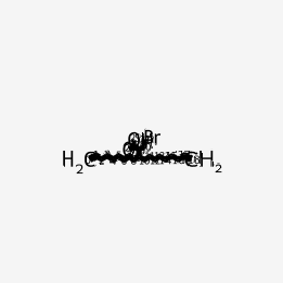 C=CCCCCCCCC(CCCCCCCC=C)C(CCBr)C(=O)O